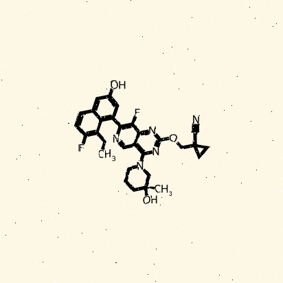 CCc1c(F)ccc2cc(O)cc(-c3ncc4c(N5CCC[C@@](C)(O)C5)nc(OCC5(C#N)CC5)nc4c3F)c12